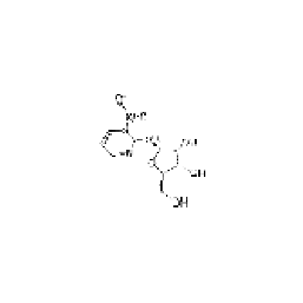 O=[N+]([O-])N1C=CC=NC1N[C@@H]1O[C@H](CO)[C@@H](O)[C@H]1O